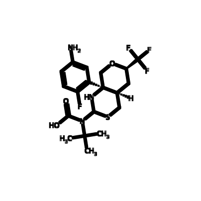 CC(C)(C)N(C(=O)O)C1N[C@@]2(c3cc(N)ccc3F)CO[C@@H](C(F)(F)F)C[C@H]2CS1